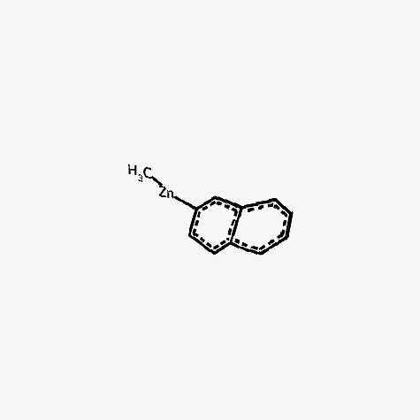 [CH3][Zn][c]1ccc2ccccc2c1